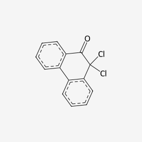 O=C1c2ccccc2-c2ccccc2C1(Cl)Cl